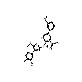 COc1cccc(-c2cnc(Nc3nc(-c4ccc(Cl)c(Cl)c4)c(C(C)C)s3)c(C(=O)O)c2)c1